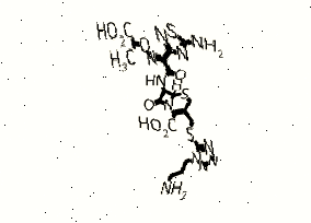 CC(ON=C(C(=O)NC1C(=O)N2C(C(=O)O)=C(CSc3nnnn3CCCN)CS[C@@H]12)c1nsc(N)n1)C(=O)O